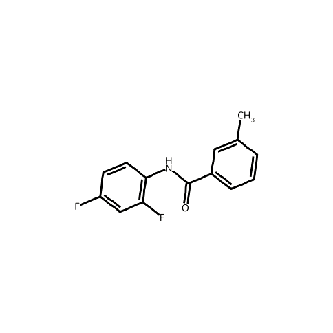 Cc1cccc(C(=O)Nc2ccc(F)cc2F)c1